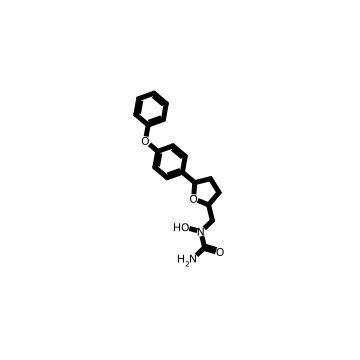 NC(=O)N(O)CC1CCC(c2ccc(Oc3ccccc3)cc2)O1